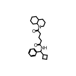 O=C(CCCC(=O)N1CCCC2CCCCC21)NC(c1ccccc1)C1CCC1